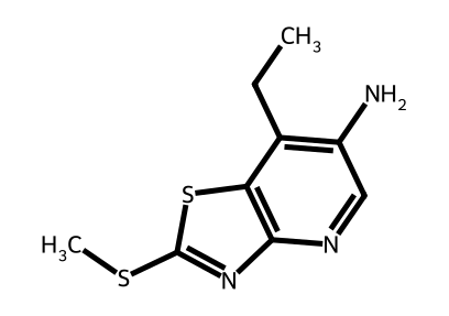 CCc1c(N)cnc2nc(SC)sc12